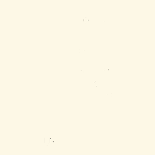 CC(=O)CC(=O)OS(=O)(=O)c1ccc(N)cc1